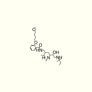 CCC(C)(C)NCC(O)C(N)CC(CNC(=O)c1ccccc1OCCCCOC)C(C)C